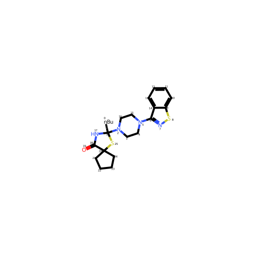 CCCCC1(N2CCN(c3nsc4ccccc34)CC2)NC(=O)C2(CCCC2)S1